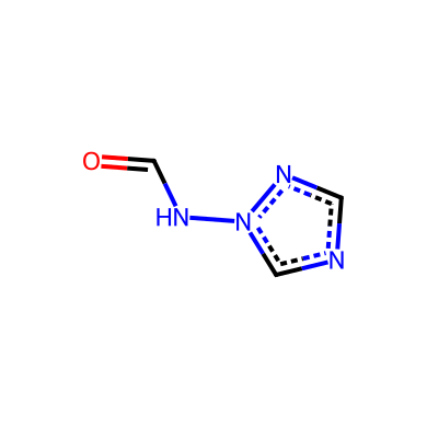 O=CNn1cncn1